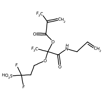 C=CCNC(=O)C(OCCC(F)(F)S(=O)(=O)O)(OC(=O)C(=C)C(F)(F)F)C(F)(F)F